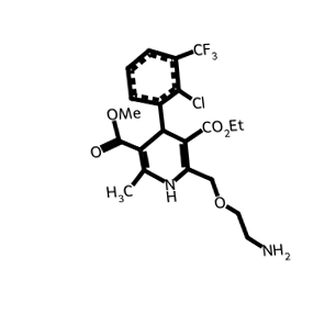 CCOC(=O)C1=C(COCCN)NC(C)=C(C(=O)OC)C1c1cccc(C(F)(F)F)c1Cl